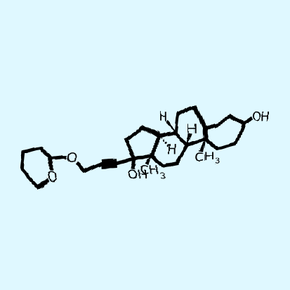 C[C@]12CCC(O)CC1CC[C@@H]1[C@H]2CC[C@@]2(C)[C@H]1CCC2(O)C#CCOC1CCCCO1